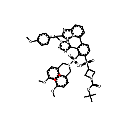 COc1ccc(CN(Cc2ccc(OC)cc2)S(=O)(=O)c2c(S(=O)(=O)C3CN(C(=O)OC(C)(C)C)C3)ccc(-c3cccc4nc(N)nn34)c2-c2nnn(Cc3ccc(OC)cc3)n2)cc1